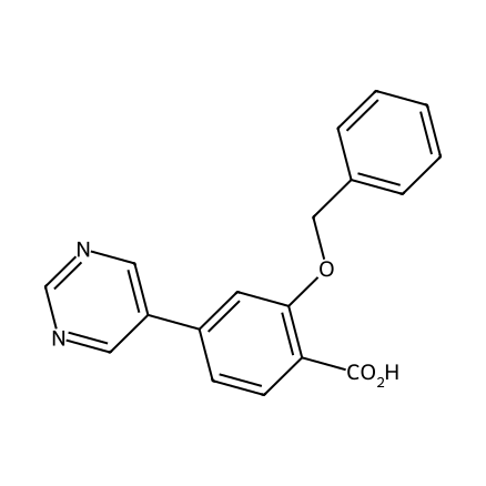 O=C(O)c1ccc(-c2cncnc2)cc1OCc1ccccc1